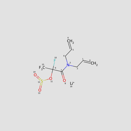 C=CCN(CC=C)C(=O)C(F)(O[S-](=O)=O)C(F)(F)F.[Li+]